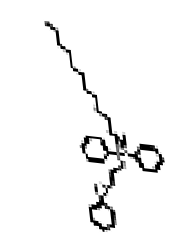 CCCCCCCCCCCC[PH](CCCOc1ccccc1)(c1ccccc1)c1ccccc1